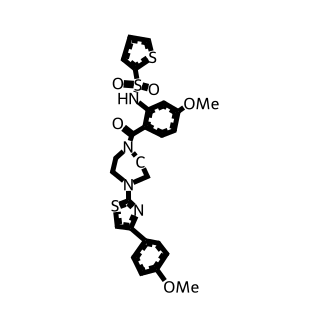 COc1ccc(-c2csc(N3CCN(C(=O)c4ccc(OC)cc4NS(=O)(=O)c4cccs4)CC3)n2)cc1